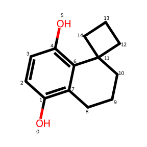 Oc1ccc(O)c2c1CCCC21CCC1